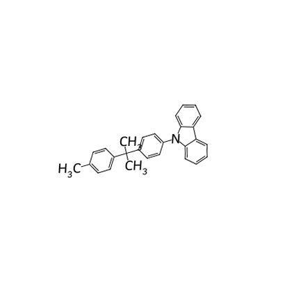 Cc1ccc(C(C)(C)c2ccc(-n3c4ccccc4c4ccccc43)cc2)cc1